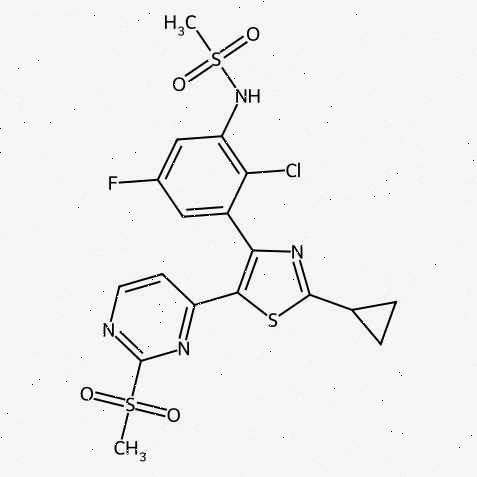 CS(=O)(=O)Nc1cc(F)cc(-c2nc(C3CC3)sc2-c2ccnc(S(C)(=O)=O)n2)c1Cl